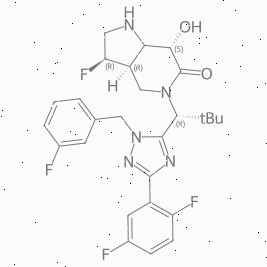 CC(C)(C)[C@H](c1nc(-c2cc(F)ccc2F)nn1Cc1cccc(F)c1)N1C[C@@H]2C(NC[C@@H]2F)[C@H](O)C1=O